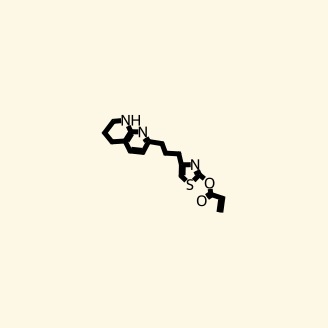 C=CC(=O)Oc1nc(CCCc2ccc3c(n2)NCCC3)cs1